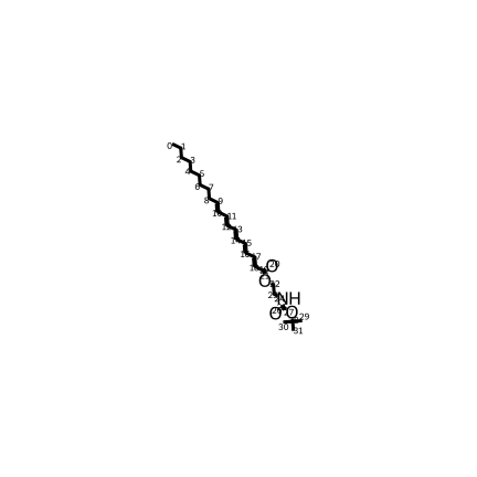 CCCCCCCCCC=CC=CC=CC=CC=CC(=O)OCCNC(=O)OC(C)(C)C